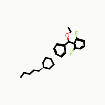 CCCCC[C@H]1CC[C@H](c2ccc(C(OCC)c3c(F)cccc3F)cc2)CC1